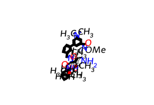 CON(C)C(=O)c1cc(-c2cccc(CN3O[C@@H](CN)[C@@H]([C@H](C)O)[C@H]3C(=O)N[C@H]3C[C@H]4C[C@@H]([C@@H]3C)C4(C)C)c2C)cc(N(C)C)c1